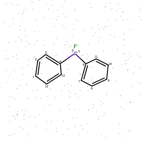 [F-].c1ccc([I+]c2ccccc2)cc1